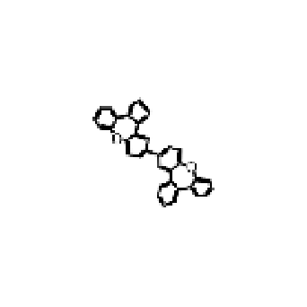 c1ccc2c(c1)Oc1ccc(-c3ccc4c(c3)-c3ccccc3-c3ccccc3O4)cc1-c1ccccc1-2